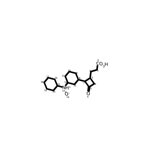 O=C(O)CCC1CC(=O)C1C1CCCC([NH+]([O-])C2CCCCC2)C1